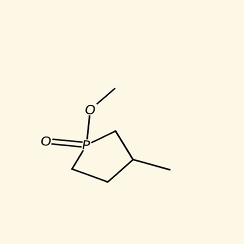 COP1(=O)CCC(C)C1